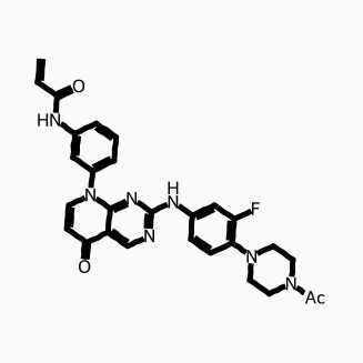 C=CC(=O)Nc1cccc(-n2ccc(=O)c3cnc(Nc4ccc(N5CCN(C(C)=O)CC5)c(F)c4)nc32)c1